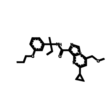 CCCOc1cccc(C(C)(CC)NC(=O)c2ncn3c(COC)cc(C4CC4)nc23)c1